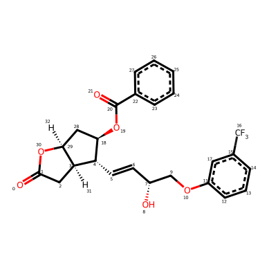 O=C1C[C@@H]2[C@@H](/C=C/[C@@H](O)COc3cccc(C(F)(F)F)c3)[C@H](OC(=O)c3ccccc3)C[C@@H]2O1